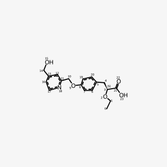 CCO[C@@H](Cc1ccc(OCc2cc(CO)ccn2)cc1)C(=O)O